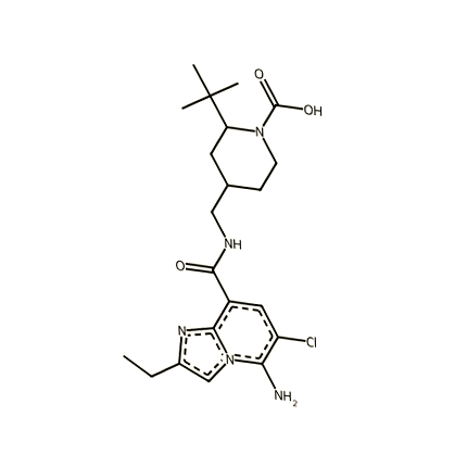 CCc1cn2c(N)c(Cl)cc(C(=O)NCC3CCN(C(=O)O)C(C(C)(C)C)C3)c2n1